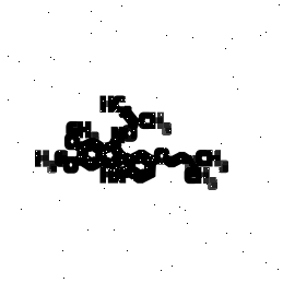 C#C[C@H](C)O/N=C1/c2cc(OC)c(OC)cc2-c2[nH]c3ccc(OCCN(C)C)cc3c21